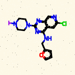 Clc1cc2c(NCc3ccco3)nc(N3CCN(I)CC3)nc2cn1